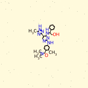 Cc1nc(-c2cnc(Nc3ccc(C(=O)N(C)C)c(C)c3)nc2N[C@H](CO)c2ccccc2)n[nH]1